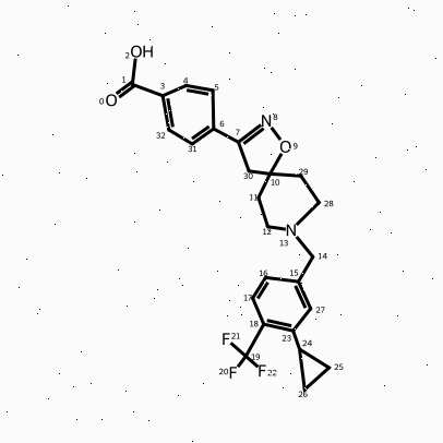 O=C(O)c1ccc(C2=NOC3(CCN(Cc4ccc(C(F)(F)F)c(C5CC5)c4)CC3)C2)cc1